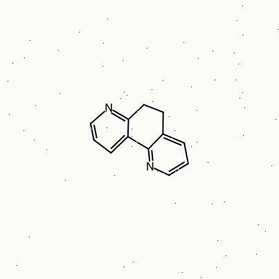 c1cnc2c(c1)CCc1ncccc1-2